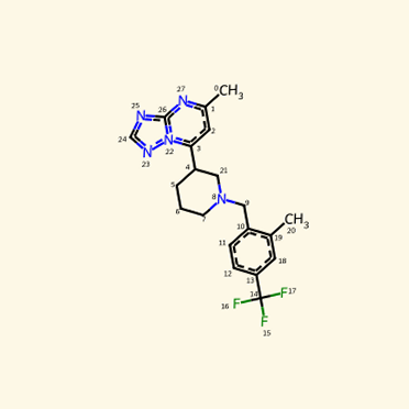 Cc1cc(C2CCCN(Cc3ccc(C(F)(F)F)cc3C)C2)n2ncnc2n1